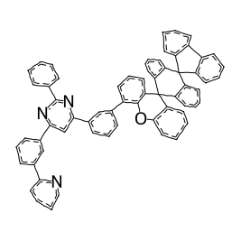 c1ccc(-c2nc(-c3cccc(-c4ccccn4)c3)cc(-c3cccc(-c4cccc5c4Oc4ccccc4C54c5ccccc5C5(c6ccccc6-c6ccccc65)c5ccccc54)c3)n2)cc1